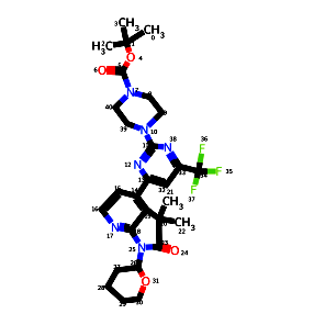 CC(C)(C)OC(=O)N1CCN(c2nc(-c3ccnc4c3C(C)(C)C(=O)N4C3CCCCO3)cc(C(F)(F)F)n2)CC1